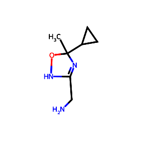 CC1(C2CC2)N=C(CN)NO1